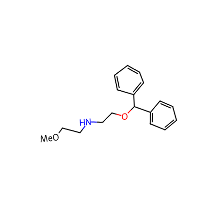 COCCNCCOC(c1ccccc1)c1ccccc1